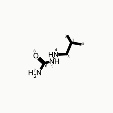 CC(C)CNNC(N)=O